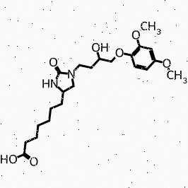 COc1ccc(OCC(O)CCN2CC(CCCCCCC(=O)O)NC2=O)c(OC)c1